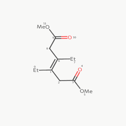 CCC(CC(=O)OC)=C(CC)CC(=O)OC